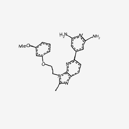 COc1cccc(OCCn2c(C)nc3ccc(-c4cc(N)nc(N)c4)nc32)c1